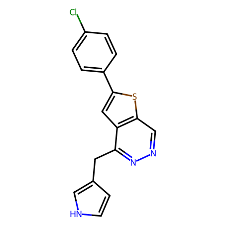 Clc1ccc(-c2cc3c(Cc4cc[nH]c4)nncc3s2)cc1